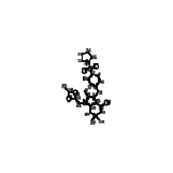 Cc1c(Cc2ccc(S(=O)(=O)N3CCCC3)cc2)c2c(n1CC1OC(C)O1)CC(C)(C)CC2=O